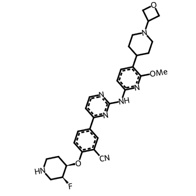 COc1nc(Nc2nccc(-c3ccc(O[C@@H]4CCNC[C@@H]4F)c(C#N)c3)n2)ccc1C1CCN(C2COC2)CC1